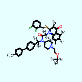 [2H]c1c(C)c([2H])c2c(c1[2H])c(=O)c([2H])c(SCc1cccc(F)c1F)n2C([2H])([2H])C(=O)N(C1CCN(CCOC([2H])([2H])[2H])CC1)C([2H])([2H])c1ccc(-c2ccc(C(F)(F)F)cc2)cc1